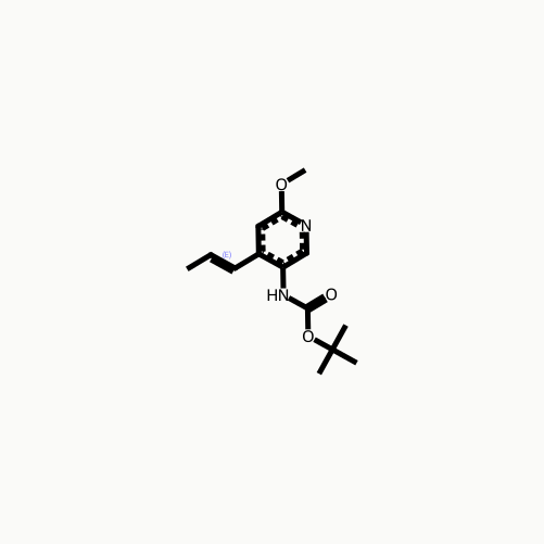 C/C=C/c1cc(OC)ncc1NC(=O)OC(C)(C)C